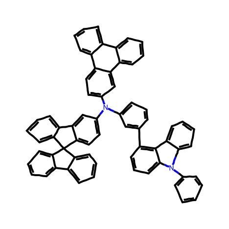 c1ccc(-n2c3ccccc3c3c(-c4cccc(N(c5ccc6c(c5)-c5ccccc5C65c6ccccc6-c6ccccc65)c5ccc6c7ccccc7c7ccccc7c6c5)c4)cccc32)cc1